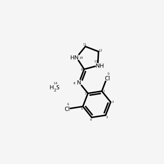 Clc1cccc(Cl)c1N=C1NCCN1.S